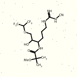 COC(C)(C)C(=O)NC(CCCNC(=N)NC#N)C(O)COC(C(F)(F)F)C(F)(F)F